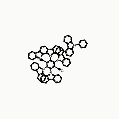 N#Cc1c(-n2c3ccccc3c3ccccc32)c(-n2c3ccccc3c3ccccc32)c(C#N)c(-n2c3cc(-c4cccc5c4c4ccccc4n5-c4ccccc4)ccc3c3ccc4c5ccccc5sc4c32)c1-n1c2ccccc2c2ccccc21